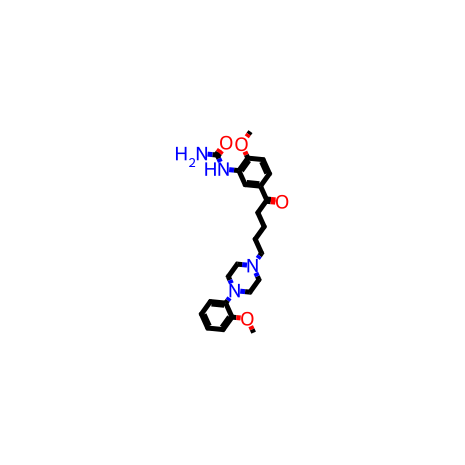 COc1ccc(C(=O)CCCCN2CCN(c3ccccc3OC)CC2)cc1NC(N)=O